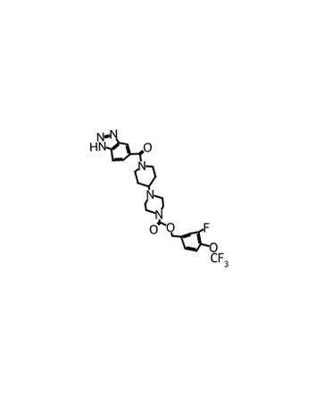 O=C(OCc1ccc(OC(F)(F)F)c(F)c1)N1CCN(C2CCN(C(=O)c3ccc4[nH]nnc4c3)CC2)CC1